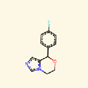 Fc1ccc(C2OCCn3cncc32)cc1